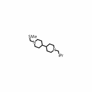 CSCN1CCC(C2CCN(CC(C)C)CC2)CC1